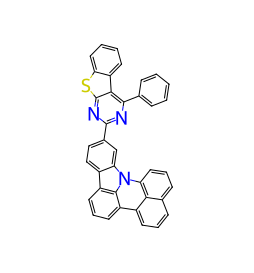 c1ccc(-c2nc(-c3ccc4c5cccc6c7cccc8cccc(c87)n(c4c3)c65)nc3sc4ccccc4c23)cc1